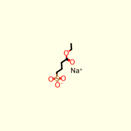 CCOC(=O)CCCS(=O)(=O)[O-].[Na+]